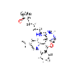 C=Cc1ccc(-c2c(-c3ccccc3)oc3ncnc(NCCCCCC(=O)OC)c23)nc1